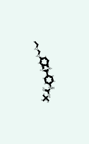 CCOCOc1ccc2nc(-c3ccc(NC(=O)OC(C)(C)C)cc3)sc2c1